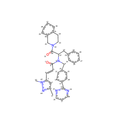 Cc1cc(C=CC(=O)N(Cc2ccc(-c3ncccn3)cc2)C(Cc2ccccc2)C(=O)N2CCc3ccccc3C2)n(C)n1